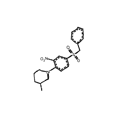 CC1CCCN(c2ccc(S(=O)(=O)Cc3ccccc3)cc2[N+](=O)[O-])C1